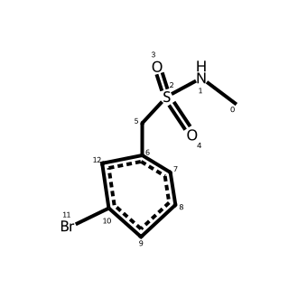 CNS(=O)(=O)Cc1cccc(Br)c1